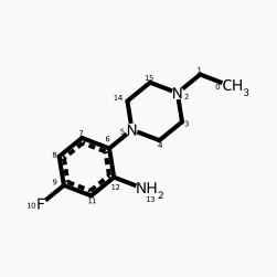 CCN1CCN(c2ccc(F)cc2N)CC1